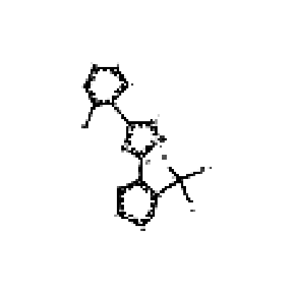 Cc1ccccc1-c1n[nH]c(-c2ccccc2C(F)(F)F)n1